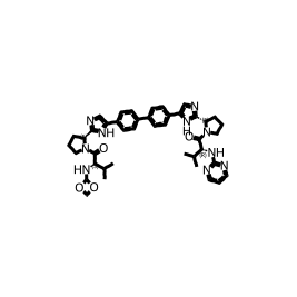 CC(C)[C@H](NC1OCO1)C(=O)N1CCC[C@H]1c1ncc(-c2ccc(-c3ccc(-c4cnc([C@@H]5CCCN5C(=O)[C@H](Nc5ncccn5)C(C)C)[nH]4)cc3)cc2)[nH]1